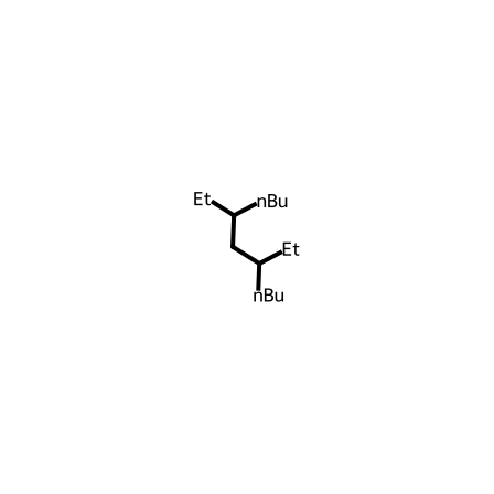 C[CH]CCC(CC)CC(CC)CCCC